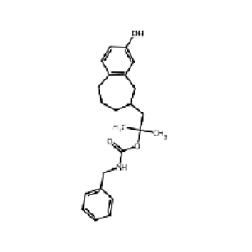 CC(C)(CC1CCCc2ccc(O)cc2C1)OC(=O)NCc1ccccc1